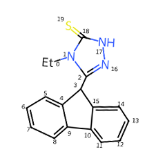 CCn1c(C2c3ccccc3-c3ccccc32)n[nH]c1=S